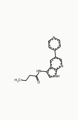 CCCC(=O)Nc1c[nH]c2ncc(-c3ccncc3)cc12